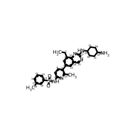 CCc1cc(-c2ccc(NS(=O)(=O)c3cccc(C)c3)nc2C)cc2cnc(NC3CCC(N)CC3)nc12